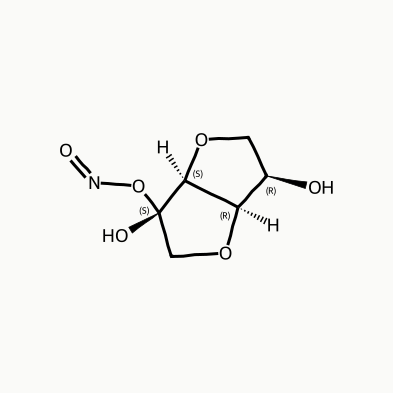 O=NO[C@@]1(O)CO[C@@H]2[C@H](O)CO[C@@H]21